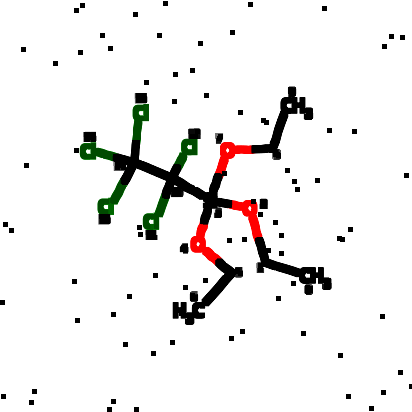 CCO[Si](OCC)(OCC)C(Cl)(Cl)C(Cl)(Cl)Cl